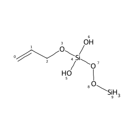 C=CCO[Si](O)(O)OO[SiH3]